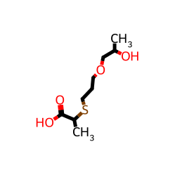 CC(O)COCCCSC(C)C(=O)O